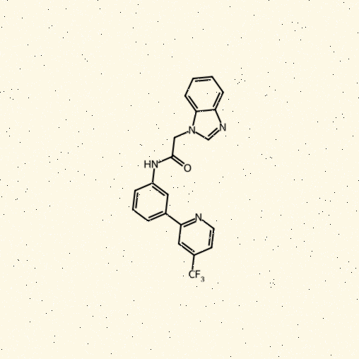 O=C(Cn1cnc2ccccc21)Nc1cccc(-c2cc(C(F)(F)F)ccn2)c1